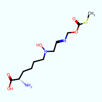 CSC(=O)OCN=CCN(O)CCCC[C@H](N)C(=O)O